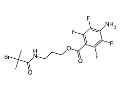 CC(C)(Br)C(=O)NCCCOC(=O)c1c(F)c(F)c(N)c(F)c1F